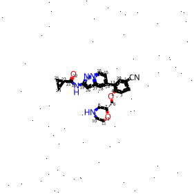 N#Cc1ccc(OC[C@H]2CNCCO2)c(-c2ccn3nc(NC(=O)C4CC4)cc3c2)c1